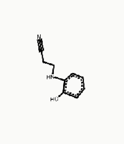 N#CCCNc1ccccc1O